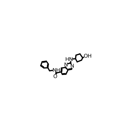 O=C(NCc1ccccc1)c1ccc2cnc(NC3CCC(O)CC3)nc2c1